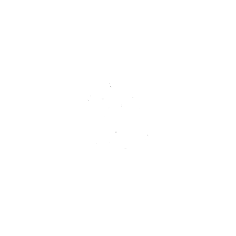 N#CC(C#N)=c1c2c(c(=C(C#N)C#N)c3ccccc13)CC2